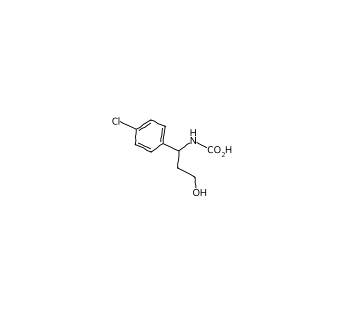 O=C(O)NC(CCO)c1ccc(Cl)cc1